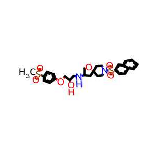 CS(=O)(=O)c1ccc(OC[C@@H](O)CNC2COC3(CCN(S(=O)(=O)c4ccc5ccccc5c4)CC3)C2)cc1